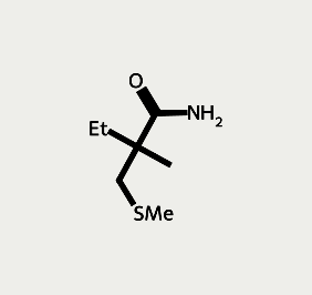 CCC(C)(CSC)C(N)=O